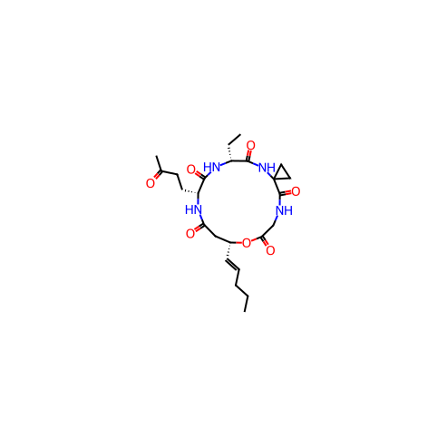 CCC/C=C/[C@@H]1CC(=O)N[C@H](CCC(C)=O)C(=O)N[C@H](CC)C(=O)NC2(CC2)C(=O)NCC(=O)O1